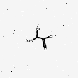 CCC(NC)C(=O)Cl